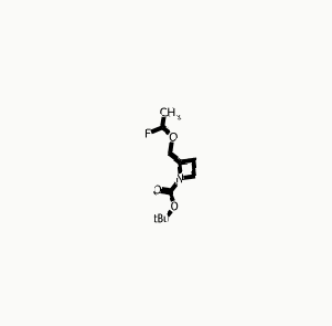 CC(F)OCC1CCN1C(=O)OC(C)(C)C